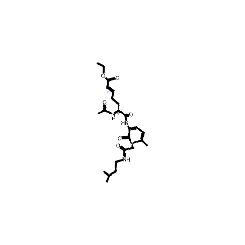 CCOC(=O)/C=C/CC[C@H](NC(C)=O)C(=O)Nc1ccc(C)n(CC(=O)NCCC(C)C)c1=O